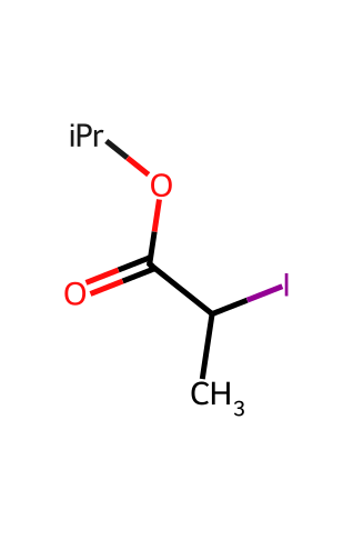 CC(C)OC(=O)C(C)I